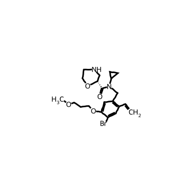 C=Cc1cc(Br)c(OCCCOC)cc1CN(C(=O)[C@H]1CNCCO1)C1CC1